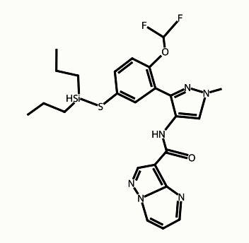 CCC[SiH](CCC)Sc1ccc(OC(F)F)c(-c2nn(C)cc2NC(=O)c2cnn3cccnc23)c1